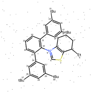 CCC1CCCc2c1sc[n+]2-c1c(-c2cc(C(C)(C)C)cc(C(C)(C)C)c2)cccc1-c1cc(C(C)(C)C)cc(C(C)(C)C)c1